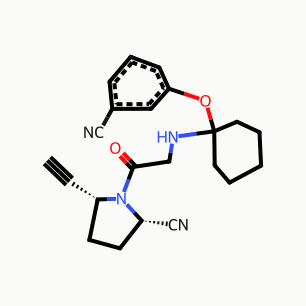 C#C[C@H]1CC[C@@H](C#N)N1C(=O)CNC1(Oc2cccc(C#N)c2)CCCCC1